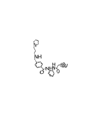 CC(C)(C)CC(=O)Nc1ccccc1NC(=O)c1ccc(CNCCCN2CCCC2)cc1